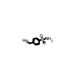 NS(=O)(=O)c1ccc([CH2][Hg])cc1